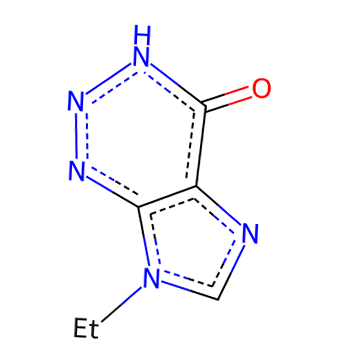 CCn1cnc2c(=O)[nH]nnc21